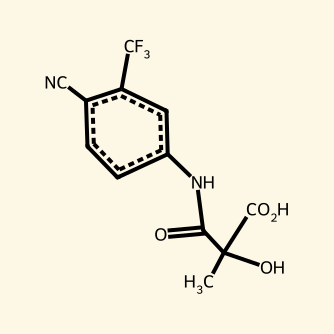 CC(O)(C(=O)O)C(=O)Nc1ccc(C#N)c(C(F)(F)F)c1